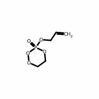 C=CCOP1(=O)OCCOO1